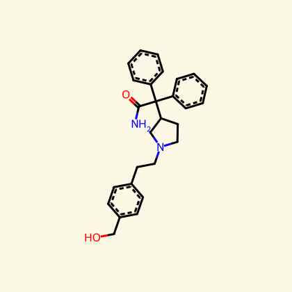 NC(=O)C(c1ccccc1)(c1ccccc1)C1CCN(CCc2ccc(CO)cc2)C1